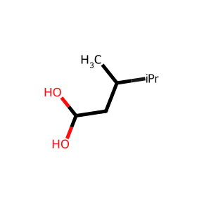 CC(C)C(C)CC(O)O